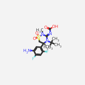 CN1C(=NC(=O)O)N(C(C)(C)C)[C@](C)(c2cc(N)c(F)cc2F)CS1(=O)=O